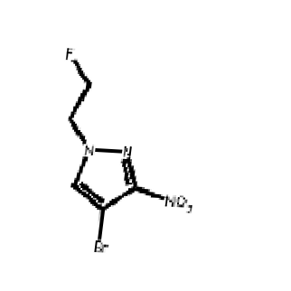 O=[N+]([O-])c1nn(CCF)cc1Br